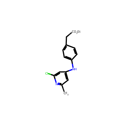 CCOC(=O)Cc1ccc(Nc2cc(Cl)nc(C(F)(F)F)c2)cc1